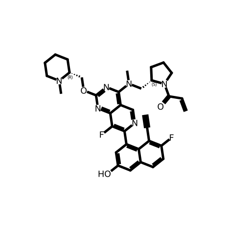 C#Cc1c(F)ccc2cc(O)cc(-c3ncc4c(N(C)C[C@@H]5CCCN5C(=O)C=C)nc(OC[C@H]5CCCCN5C)nc4c3F)c12